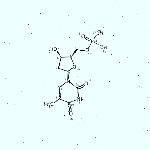 Cc1cn([C@H]2C[C@@H](O)[C@@H](COP(=O)(O)S)O2)c(=O)[nH]c1=O